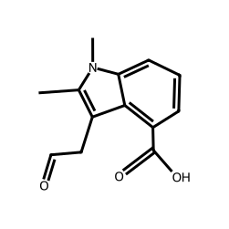 Cc1c(CC=O)c2c(C(=O)O)cccc2n1C